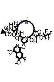 COc1cc2c(OC)cnc(O[C@@H]3C[C@H]4C(=O)N[C@]5(C(=O)NS(=O)(=O)C6(C)CC6)C[C@H]5/C=C\[C@H](C)CCC[C@@H](C)[C@H](NC(=O)OC(C)(C)C(F)(F)F)C(=O)N4C3)c2cc1F